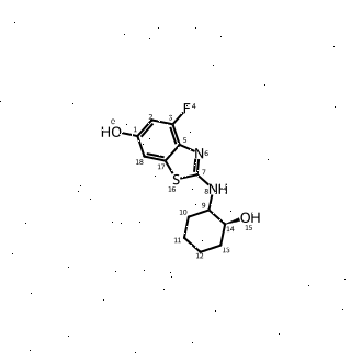 Oc1cc(F)c2nc(NC3CCCC[C@@H]3O)sc2c1